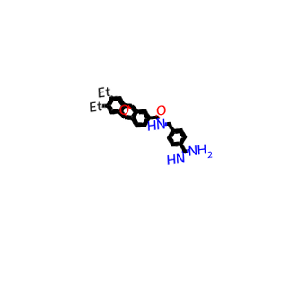 CCc1cc2c(cc1CC)c1oc2c2ccc(C(=O)NCc3ccc(C(=N)N)cc3)cc21